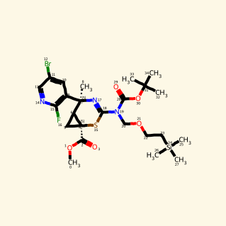 COC(=O)[C@]12CC1[C@@](C)(c1cc(Br)cnc1F)N=C(N(COCC[Si](C)(C)C)C(=O)OC(C)(C)C)S2